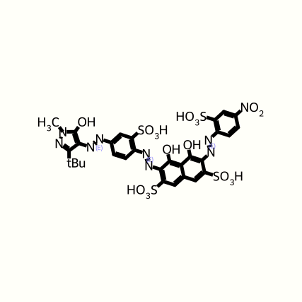 Cn1nc(C(C)(C)C)c(/N=N/c2ccc(/N=N/c3c(S(=O)(=O)O)cc4cc(S(=O)(=O)O)c(/N=N/c5ccc([N+](=O)[O-])cc5S(=O)(=O)O)c(O)c4c3O)c(S(=O)(=O)O)c2)c1O